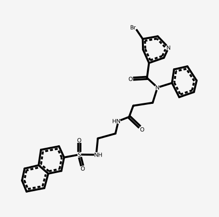 O=C(CCN(C(=O)c1cncc(Br)c1)c1ccccc1)NCCNS(=O)(=O)c1ccc2ccccc2c1